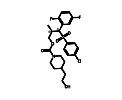 C[C@H](COC(=O)N1CCC(CCO)CC1)[C@@H](c1cc(F)ccc1F)S(=O)(=O)c1ccc(Cl)cc1